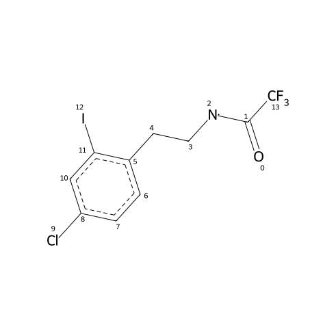 O=C([N]CCc1ccc(Cl)cc1I)C(F)(F)F